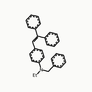 CCN(Cc1ccccc1)c1ccc(C=C(c2ccccc2)c2ccccc2)cc1